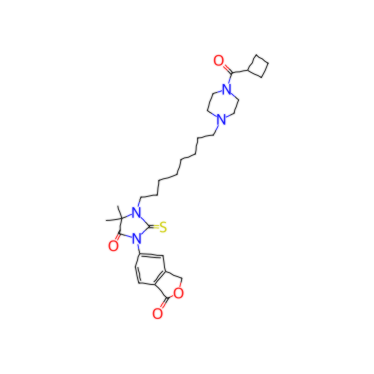 CC1(C)C(=O)N(c2ccc3c(c2)COC3=O)C(=S)N1CCCCCCCCN1CCN(C(=O)C2CCC2)CC1